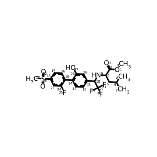 COC(=O)C(CC(C)C)NC(c1ccc(-c2ccc(S(C)(=O)=O)cc2F)c(O)c1)C(F)(F)F